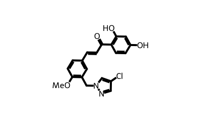 COc1ccc(/C=C/C(=O)c2ccc(O)cc2O)cc1Cn1cc(Cl)cn1